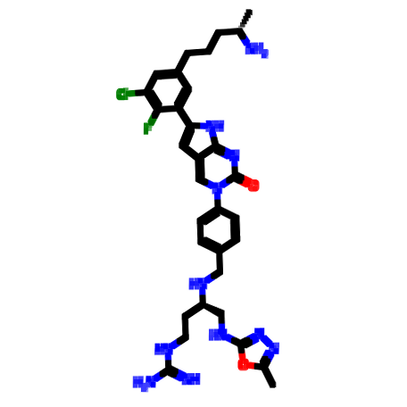 Cc1nnc(NC[C@@H](CCNC(=N)N)NCc2ccc(-n3cc4cc(-c5cc(CCC[C@H](C)N)cc(Cl)c5F)[nH]c4nc3=O)cc2)o1